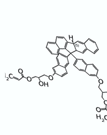 C=CC(=O)OCC(O)COc1ccc2cc(C3(c4ccc5cc(OCC(O)COC(=O)C=C)ccc5c4)c4c(ccc5ccccc45)[C@@H]4C=c5ccccc5=CC43)ccc2c1